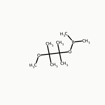 COC(C)(C)C(C)(C)OB(C)C